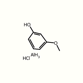 COc1cccc(O)c1.Cl.[AlH3]